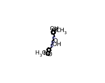 COc1cc(/C=C/C(=O)/C=C(O)/C=C/c2ccc3c(c2)OCCN3C)ccc1O